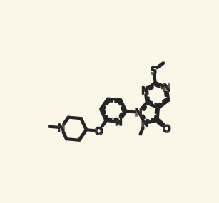 CSc1ncc2c(=O)n(C)n(-c3cccc(OC4CCN(C)CC4)n3)c2n1